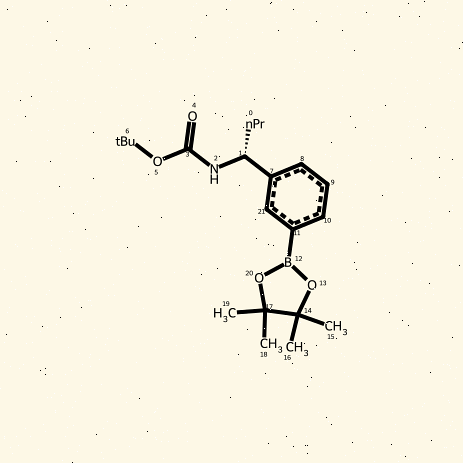 CCC[C@@H](NC(=O)OC(C)(C)C)c1cccc(B2OC(C)(C)C(C)(C)O2)c1